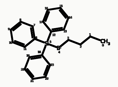 CCCC[B][Si](c1ccccc1)(c1ccccc1)c1ccccc1